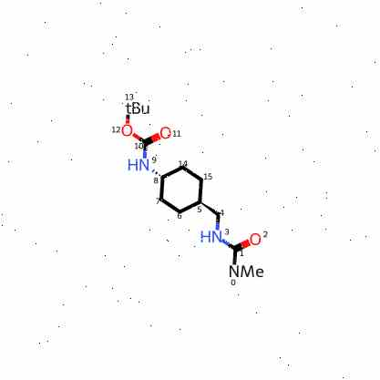 CNC(=O)NC[C@H]1CC[C@H](NC(=O)OC(C)(C)C)CC1